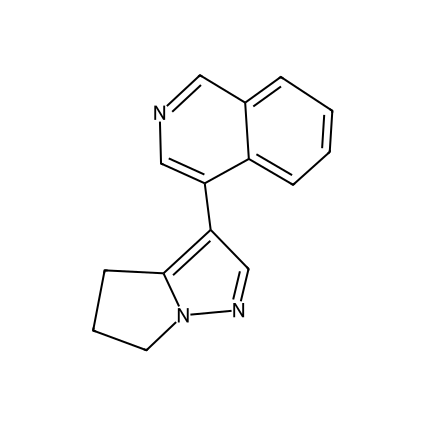 c1ccc2c(-c3cnn4c3CCC4)cncc2c1